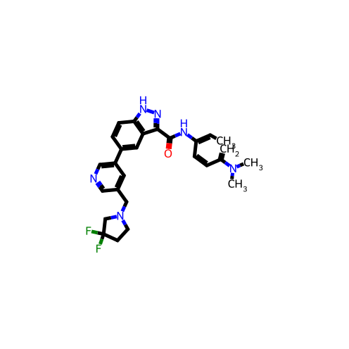 C=C(/C=C\C(=C/C)NC(=O)c1n[nH]c2ccc(-c3cncc(CN4CCC(F)(F)C4)c3)cc12)N(C)C